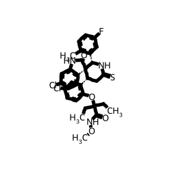 CCC(CC)(Oc1ccc(Cl)cc1[C@H]1CC(=S)N[C@@H](c2cc(F)ccc2C)[C@]12C(=O)Nc1cc(Cl)ccc12)C(=O)NOC